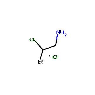 CCC(Cl)CN.Cl